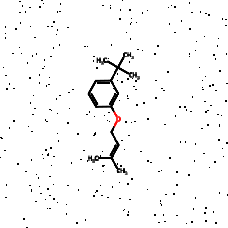 CC(C)=CCOc1cccc(C(C)(C)C)c1